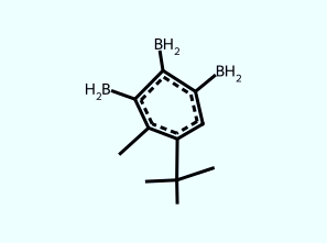 Bc1cc(C(C)(C)C)c(C)c(B)c1B